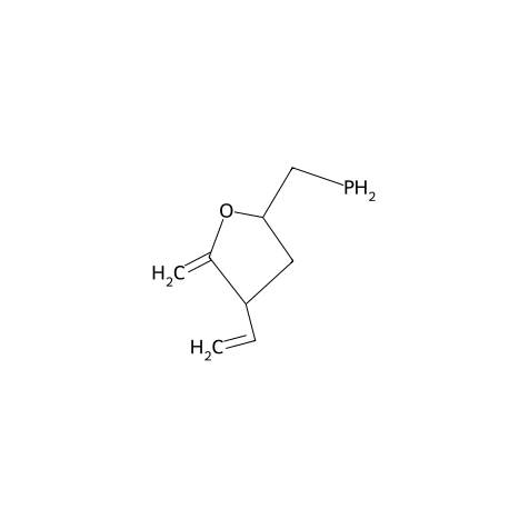 C=CC1CC(CP)OC1=C